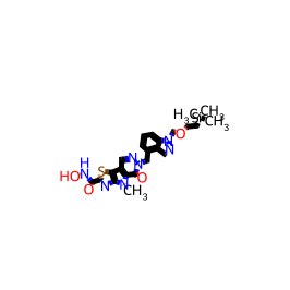 Cn1c2nc(C(=O)NO)sc2c2cnn(Cc3cccc4c3cnn4COCC[Si](C)(C)C)c(=O)c21